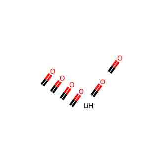 C=O.C=O.C=O.C=O.C=O.C=O.[LiH]